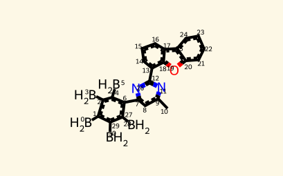 Bc1c(B)c(B)c(-c2cc(C)nc(-c3cccc4c3oc3ccccc34)n2)c(B)c1B